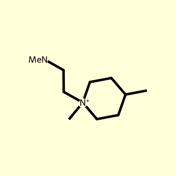 CNCC[N+]1(C)CCC(C)CC1